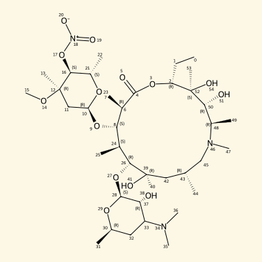 CC[C@H]1OC(=O)[C@H](C)[C@@H](O[C@H]2C[C@@](C)(OC)[C@@H](O[N+](=O)[O-])[C@H](C)O2)[C@H](C)[C@@H](O[C@@H]2O[C@H](C)CC(N(C)C)[C@H]2O)[C@](C)(O)C[C@@H](C)CN(C)[C@H](C)[C@@H](O)[C@]1(C)O